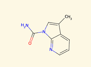 Cc1cn(C(N)=O)c2ncccc12